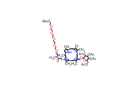 CCC1=C(C)c2cc3[nH]c(cc4nc(c(C)c5cc(C)c(cc1n2)[nH]5)[C@@H](CCC(=O)N(C)CCOCCOCCOCCOCCOCCOC)[C@@H]4C)c(C)c3CO[C@@H]1O[C@H](COC(C)=O)[C@@H](OC(C)=O)[C@H](OC(C)=O)[C@H]1OC(C)=O